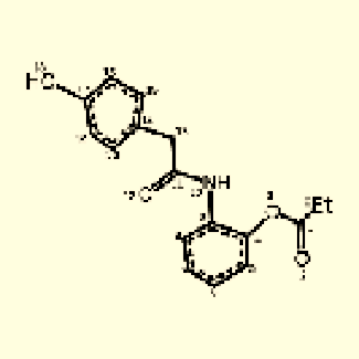 CCC(=O)Oc1ccccc1NC(=O)Cc1ccc(O)cc1